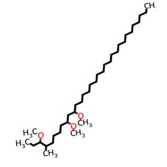 CCCCCCCCCCCCCCCCCCCCCC(CC(CCCCC(C)C(CC)OC)OC)OC